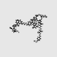 Cc1ccc(CCCC(=O)NCCCCC(CSC2CC(=O)N(CC(C)C(=O)N3CCN(CCCCOc4ccc5nccc(C(=O)NCC(=O)N6CC(C)(F)C[C@@H]6C#N)c5c4)CC3)C2=O)NC(=O)CN2CCN(COC=O)CCNCCN(CC(=O)O)CC2)cc1